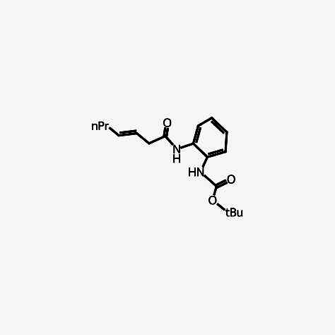 CCC/C=C/CC(=O)Nc1ccccc1NC(=O)OC(C)(C)C